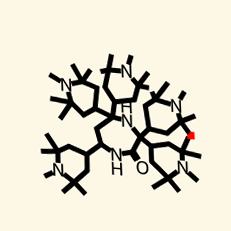 CN1C(C)(C)CC(C2CC(C3CC(C)(C)N(C)C(C)(C)C3)(C3CC(C)(C)N(C)C(C)(C)C3)NC(C3CC(C)(C)N(C)C(C)(C)C3)(C3CC(C)(C)N(C)C(C)(C)C3)C(=O)N2)CC1(C)C